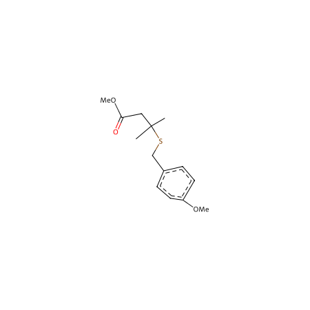 COC(=O)CC(C)(C)SCc1ccc(OC)cc1